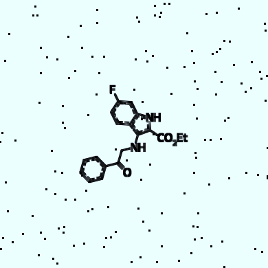 CCOC(=O)c1[nH]c2cc(F)ccc2c1NCC(=O)c1ccccc1